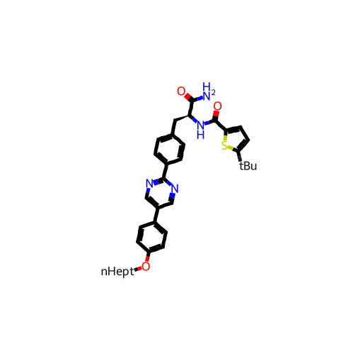 CCCCCCCOc1ccc(-c2cnc(-c3ccc(C[C@H](NC(=O)c4ccc(C(C)(C)C)s4)C(N)=O)cc3)nc2)cc1